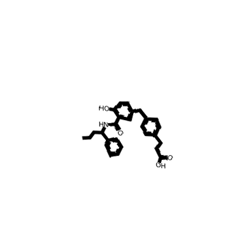 CCCC(NC(=O)c1cc(Cc2ccc(CCC(=O)O)cc2)ccc1O)c1ccccc1